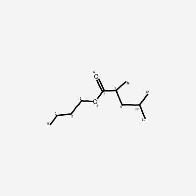 CCCCOC(=O)C(C)CC(C)C